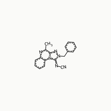 Cc1nc2ccccc2n2c(=NC#N)n(Cc3ccccc3)nc12